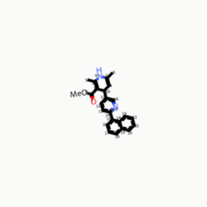 COC(=O)C1=C(C)NC(C)=CC1c1ccc(-c2cccc3ccccc23)nc1